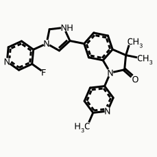 Cc1ccc(N2C(=O)C(C)(C)c3ccc(C4=CN(c5ccncc5F)CN4)cc32)cn1